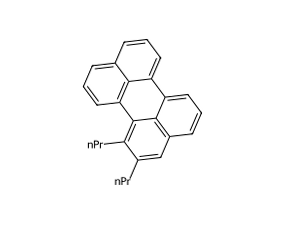 CCCc1cc2cccc3c4cccc5cccc(c(c1CCC)c23)c54